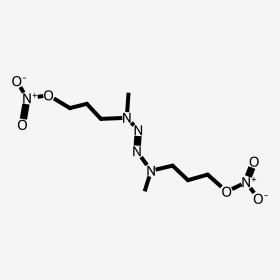 CN(CCCO[N+](=O)[O-])/N=N/N(C)CCCO[N+](=O)[O-]